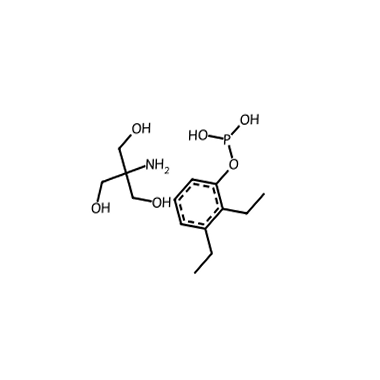 CCc1cccc(OP(O)O)c1CC.NC(CO)(CO)CO